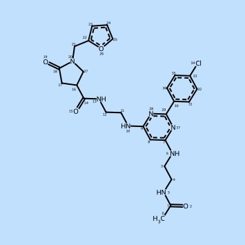 CC(=O)NCCNc1cc(NCCNC(=O)C2CC(=O)N(Cc3ccco3)C2)nc(-c2ccc(Cl)cc2)n1